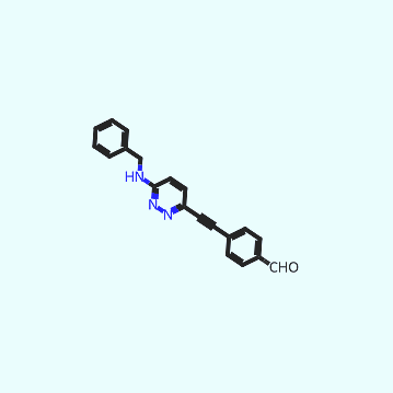 O=Cc1ccc(C#Cc2ccc(NCc3ccccc3)nn2)cc1